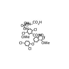 COC(=O)c1cc(Oc2ccc(Cl)cc2Cl)ccc1[N+](=O)[O-].COc1c(Cl)ccc(Cl)c1C(=O)O.O=C(O)CNCP(=O)(O)O